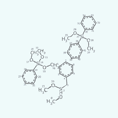 CO[SiH](Cc1ccccc1)OC.CO[Si](OC)(OC)c1ccccc1.CO[Si](OC)(c1ccccc1)c1ccccc1